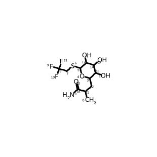 CC(CC1OC(SCC(F)(F)F)C(O)C(O)C1O)C(N)=O